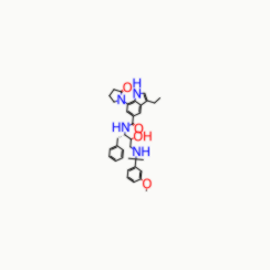 CCc1c[nH]c2c(N3CCCC3=O)cc(C(=O)N[C@@H](Cc3ccccc3)[C@@H](O)CNC(C)(C)c3cccc(OC)c3)cc12